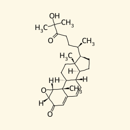 C[C@H](CCC(=O)C(C)(C)O)[C@H]1CC[C@H]2[C@@H]3C=CC4=CC(=O)[C@@H]5O[C@@H]5[C@]4(C)[C@H]3CC[C@]12C